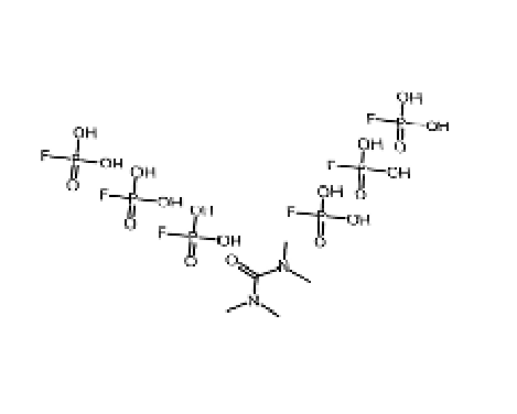 CN(C)C(=O)N(C)C.O=P(O)(O)F.O=P(O)(O)F.O=P(O)(O)F.O=P(O)(O)F.O=P(O)(O)F.O=P(O)(O)F